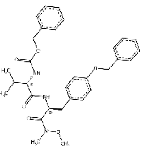 CON(C)C(=O)[C@H](Cc1ccc(OCc2ccccc2)cc1)NC(=O)[C@@H](NC(=O)OCc1ccccc1)C(C)C